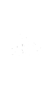 COCO[C@H]([C@H](CC1CCCCC1)NC(=O)OC(C)(C)C)[C@@H](O)CN(C)C